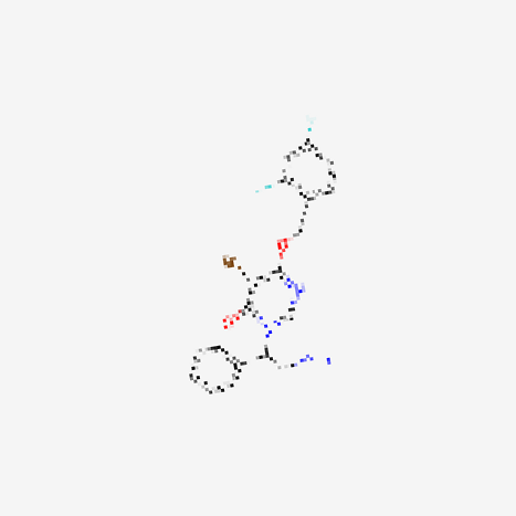 NCC(c1ccccc1)n1cnc(OCc2ccc(F)cc2F)c(Br)c1=O